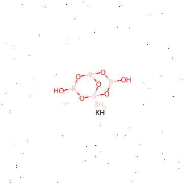 B.OB1OB2OB(O)OB(O1)O2.[KH]